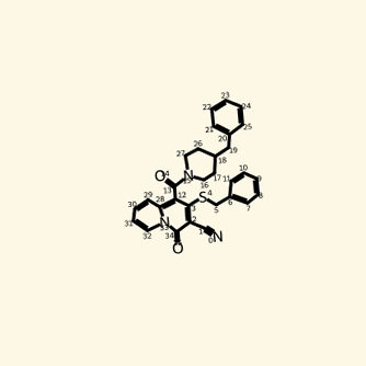 N#Cc1c(SCc2ccccc2)c(C(=O)N2CCC(Cc3ccccc3)CC2)c2ccccn2c1=O